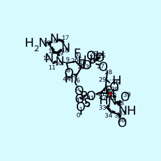 COSP1(=O)OC[C@H]2O[C@@H](n3cnc4c(N)ncnc43)[C@H](F)[C@@H]2OP(=O)(O)OC[C@H]2O[C@@H](n3ccc(=O)[nH]c3=O)[C@H](O1)[C@@H]2F